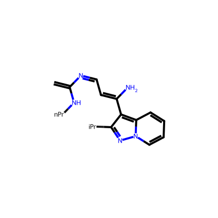 C=C(/N=C\C=C(/N)c1c(C(C)C)nn2ccccc12)NCCC